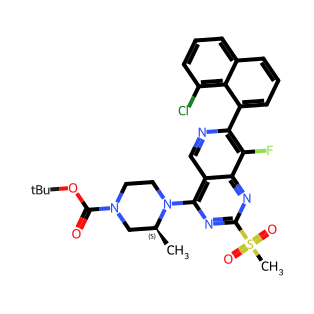 C[C@H]1CN(C(=O)OC(C)(C)C)CCN1c1nc(S(C)(=O)=O)nc2c(F)c(-c3cccc4cccc(Cl)c34)ncc12